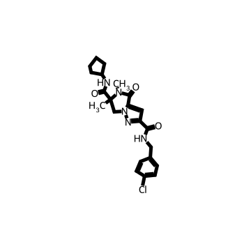 CN1C(=O)c2cc(C(=O)NCc3ccc(Cl)cc3)nn2CC1(C)C(=O)NC1CCCC1